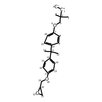 [CH2-][CH+]C(C)(C)COc1ccc(C(C)(C)c2ccc(OCC3CO3)cc2)cc1